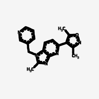 Cc1noc(C)c1-c1ccc2c(n1)nc(C)n2Cc1cccnc1